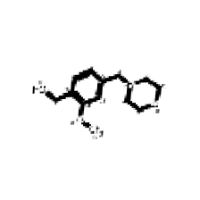 OCc1ccc(CN2CCOCC2)cc1OC(F)(F)F